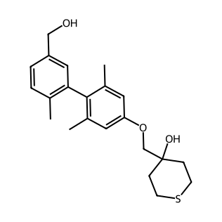 Cc1ccc(CO)cc1-c1c(C)cc(OCC2(O)CCSCC2)cc1C